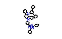 c1ccc(-c2cc(-c3ccccc3)cc(-n3c4ccccc4c4ccc5c(c6ccccc6n5-c5cccc(-c6nc(-c7ccccc7)nc(-c7ccccc7)n6)c5)c43)c2)cc1